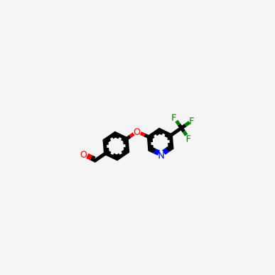 O=Cc1ccc(Oc2cncc(C(F)(F)F)c2)cc1